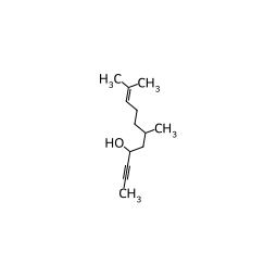 CC#CC(O)CC(C)CCC=C(C)C